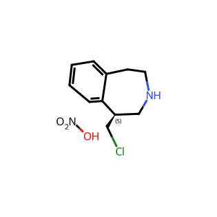 ClC[C@@H]1CNCCc2ccccc21.O=[N+]([O-])O